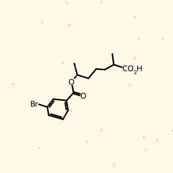 CC(CCCC(C)C(=O)O)OC(=O)c1cccc(Br)c1